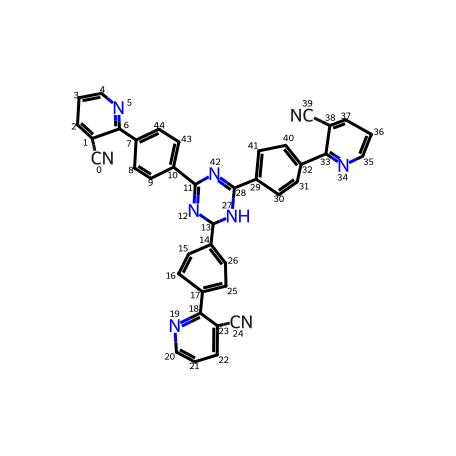 N#Cc1cccnc1-c1ccc(C2=NC(c3ccc(-c4ncccc4C#N)cc3)NC(c3ccc(-c4ncccc4C#N)cc3)=N2)cc1